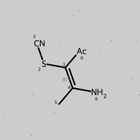 CC(=O)/C(SC#N)=C(/C)N